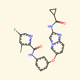 O=C(Nc1cccc(Oc2ccc3nc(NC(=O)C4CC4)cn3c2)c1)c1ncc(F)cc1F